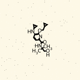 CC(C)(CO)NC(=O)c1ccc(NC2CC2)c(OCC2CC2)n1